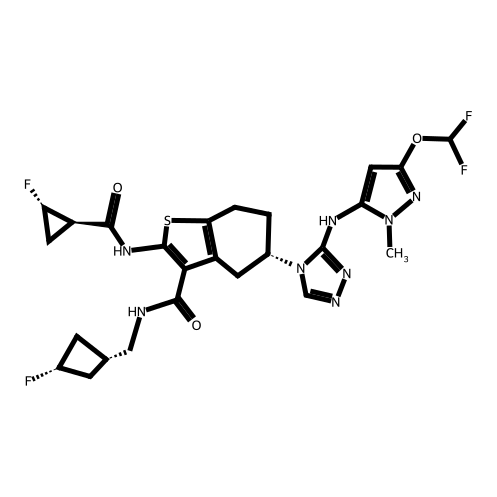 Cn1nc(OC(F)F)cc1Nc1nncn1[C@H]1CCc2sc(NC(=O)[C@H]3C[C@@H]3F)c(C(=O)NC[C@H]3C[C@@H](F)C3)c2C1